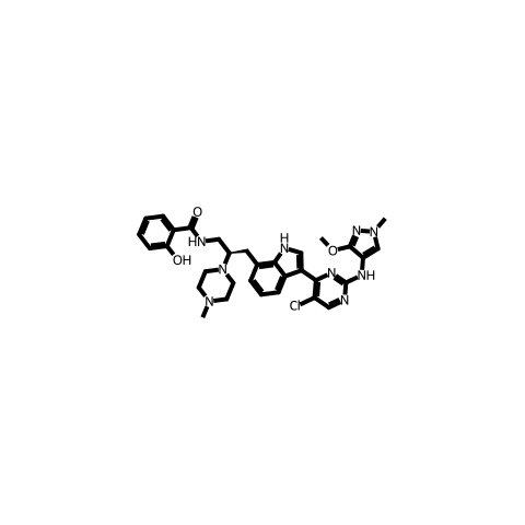 COc1nn(C)cc1Nc1ncc(Cl)c(-c2c[nH]c3c(C[C@H](CNC(=O)c4ccccc4O)N4CCN(C)CC4)cccc23)n1